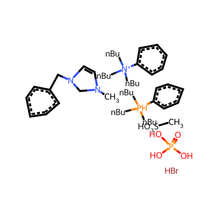 Br.CCCC[N+](CCCC)(CCCC)c1ccccc1.CCCC[PH](CCCC)(CCCC)c1ccccc1.CN1C=CN(Cc2ccccc2)C1.CS(=O)(=O)O.O=P(O)(O)O